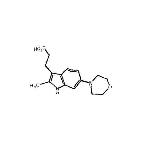 Cc1[nH]c2cc(N3CCOCC3)ccc2c1CCC(=O)O